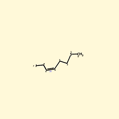 CSCC/C=C\CI